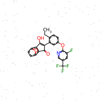 CCc1ccc(Oc2ncc(C(F)(F)F)cc2F)cc1C1=C(O)c2c(c3ccc2o3)C1=O